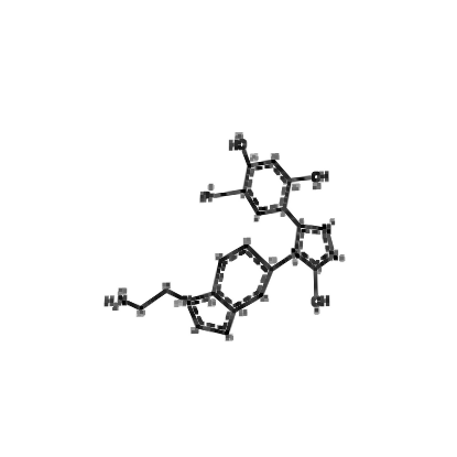 CC(C)c1cc(-c2nnc(O)n2-c2ccc3c(ccn3CCN)c2)c(O)cc1O